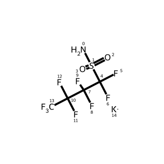 NS(=O)(=O)C(F)(F)C(F)(F)C(F)(F)C(F)(F)F.[K]